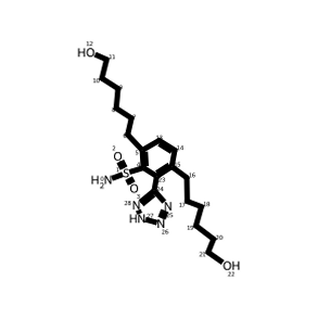 NS(=O)(=O)c1c(CCCCCCO)ccc(CCCCCCO)c1-c1nn[nH]n1